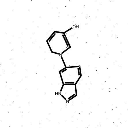 OC1=CN(c2ccc3cn[nH]c3c2)CC=C1